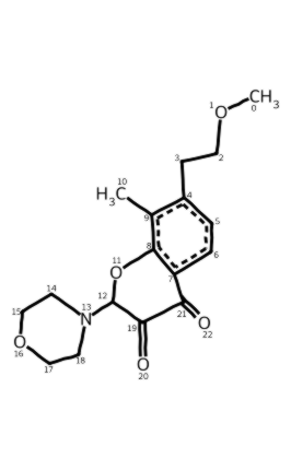 COCCc1ccc2c(c1C)OC(N1CCOCC1)C(=O)C2=O